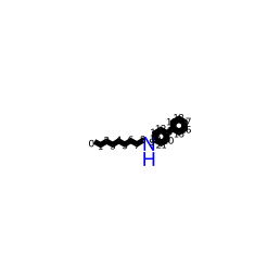 CCCCCCCCCNc1ccc(-c2ccccc2)cc1